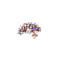 CC[C@@H](C(=O)[C@@H](C)[C@@H](O)C1(C)C[C@]12O[C@@H]([C@@H](CC)C(=O)O)CC[C@@H]2C)[C@H]1O[C@]2(C=C[C@@H](NC(=O)OCCS(C)(=O)=O)[C@]3(CC[C@@](C)([C@H]4CC[C@](O)(CC)[C@H](C)O4)O3)O2)[C@H](C)C[C@@H]1C